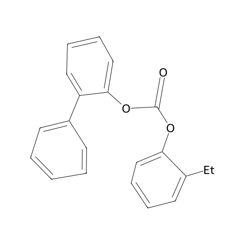 CCc1ccccc1OC(=O)Oc1ccccc1-c1ccccc1